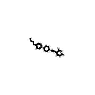 CCCCc1ccc([C@H]2CC[C@H](C#Cc3ccc(F)nc3F)CC2)cc1